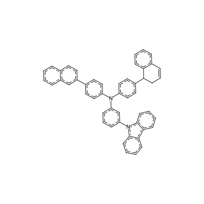 C1=Cc2ccccc2C(c2ccc(N(c3ccc(-c4ccc5ccccc5c4)cc3)c3cccc(-n4c5ccccc5c5ccccc54)c3)cc2)C1